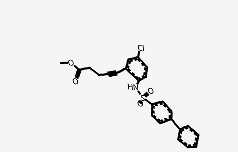 COC(=O)CCC#Cc1cc(Cl)ccc1NS(=O)(=O)c1ccc(-c2ccccc2)cc1